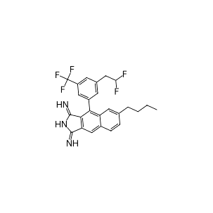 CCCCc1ccc2cc3c(c(-c4cc(CC(F)F)cc(C(F)(F)F)c4)c2c1)C(=N)NC3=N